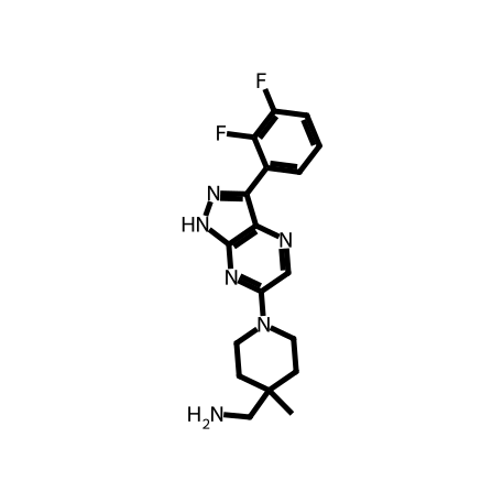 CC1(CN)CCN(c2cnc3c(-c4cccc(F)c4F)n[nH]c3n2)CC1